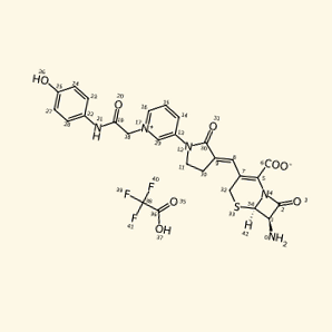 N[C@@H]1C(=O)N2C(C(=O)[O-])=C(/C=C3\CCN(c4ccc[n+](CC(=O)Nc5ccc(O)cc5)c4)C3=O)CS[C@H]12.O=C(O)C(F)(F)F